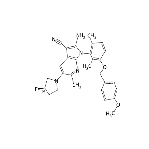 COc1ccc(COc2ccc(C)c(-n3c(N)c(C#N)c4cc(N5CC[C@@H](F)C5)c(C)nc43)c2C)cc1